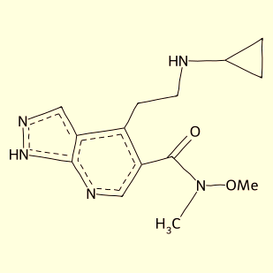 CON(C)C(=O)c1cnc2[nH]ncc2c1CCNC1CC1